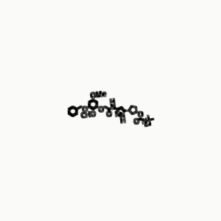 COc1cc(OCC(=O)Nc2cc([C@H]3CC[C@@H](OC(=O)N4CCC4(C)C)C3)[nH]n2)c(C=O)c(OCc2ccccc2)c1